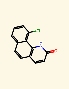 O=c1ccc2ccc3cccc(Cl)c3c2[nH]1